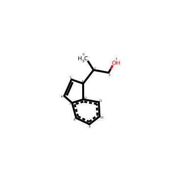 CC(CO)C1C=Cc2ccccc21